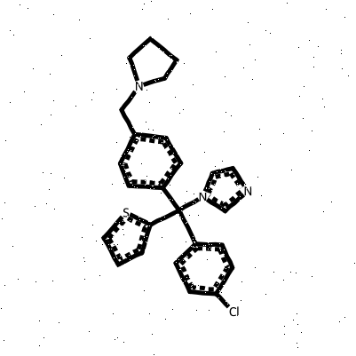 Clc1ccc(C(c2ccc(CN3CCCC3)cc2)(c2cccs2)n2ccnc2)cc1